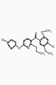 CCCc1nc(Oc2ccc(Cl)cc2)ccc1C(=O)c1cc(OC)c(Cl)cc1OC